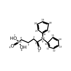 O=C(CCCP(=O)(O)O)N(c1ccccc1)c1ccccc1